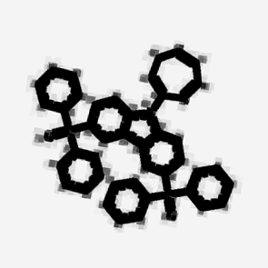 O=P(c1ccccc1)(c1ccccc1)c1ccc2c(c1)c1cc(P(=O)(c3ccccc3)c3ccccc3)ccc1n2C1=CCC=CC=C1